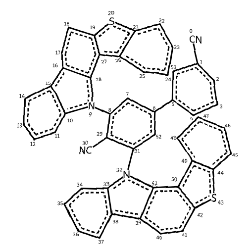 N#Cc1cccc(-c2cc(-n3c4ccccc4c4ccc5sc6ccccc6c5c43)c(C#N)c(-n3c4ccccc4c4ccc5sc6ccccc6c5c43)c2)c1